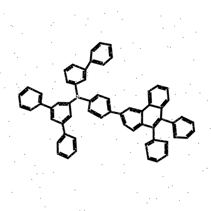 c1ccc(-c2cccc(N(c3ccc(-c4ccc5c(-c6ccccc6)c(-c6ccccc6)c6ccccc6c5c4)cc3)c3cc(-c4ccccc4)cc(-c4ccccc4)c3)c2)cc1